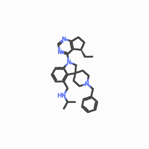 CC[C@@H]1CCc2ncnc(N3CC4(CCN(Cc5ccccc5)CC4)c4c(CNC(C)C)cccc43)c21